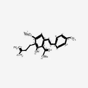 C=C(C)CCc1c(OC)cc(/C=C/c2ccc(C)cc2)c(C(=O)OC)c1O